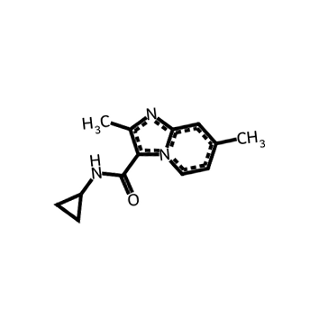 Cc1ccn2c(C(=O)NC3CC3)c(C)nc2c1